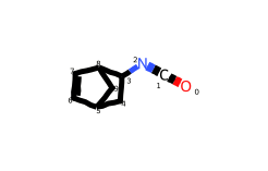 O=C=NC1CC2C=CC1C2